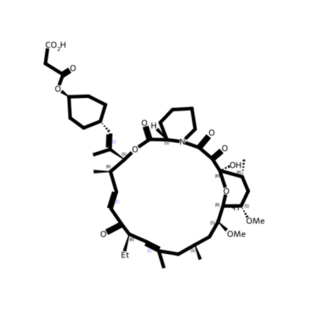 CC[C@@H]1/C=C(\C)C[C@H](C)C[C@H](OC)[C@H]2O[C@@](O)(C(=O)C(=O)N3CCCC[C@H]3C(=O)O[C@H](/C(C)=C/[C@H]3CC[C@H](OC(=O)CC(=O)O)CC3)[C@H](C)/C=C/C1=O)[C@H](C)C[C@@H]2OC